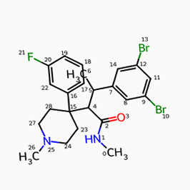 CNC(=O)C(C(C)c1cc(Br)cc(Br)c1)C1(c2cccc(F)c2)CCN(C)CC1